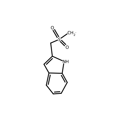 [CH2]S(=O)(=O)Cc1cc2ccccc2[nH]1